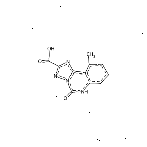 Cc1cccc2[nH]c(=O)n3nc(C(=O)O)nc3c12